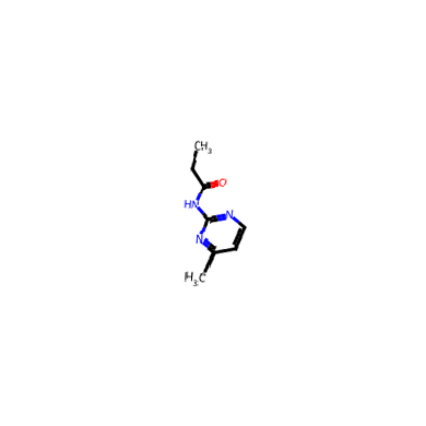 CCC(=O)Nc1nccc(C)n1